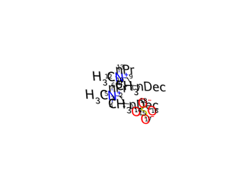 CCCCCCCCCCCC[N+](C)(C)CCC.CCCCCCCCCCCC[N+](C)(C)CCC.O=S(=O)([O-])[O-]